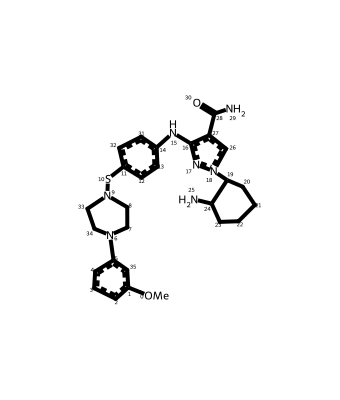 COc1cccc(N2CCN(Sc3ccc(Nc4nn(C5CCCCC5N)cc4C(N)=O)cc3)CC2)c1